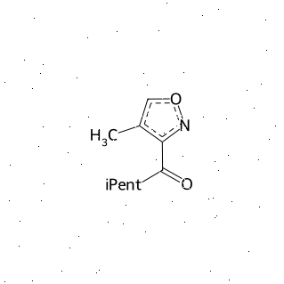 CCCC(C)C(=O)c1nocc1C